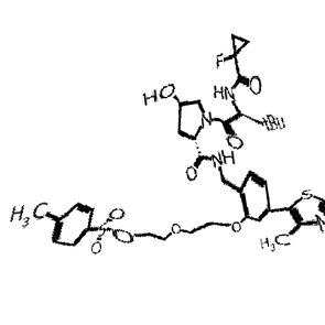 Cc1ccc(S(=O)(=O)OCCOCCOc2cc(-c3scnc3C)ccc2CNC(=O)[C@@H]2C[C@@H](O)CN2C(=O)[C@@H](NC(=O)C2(F)CC2)C(C)(C)C)cc1